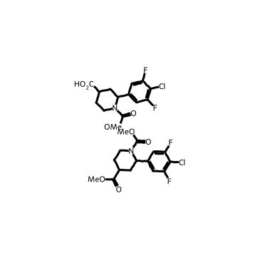 COC(=O)C1CCN(C(=O)OC)C(c2cc(F)c(Cl)c(F)c2)C1.COC(=O)N1CCC(C(=O)O)CC1c1cc(F)c(Cl)c(F)c1